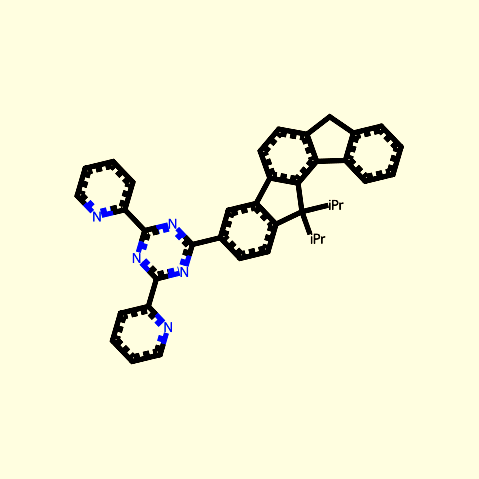 CC(C)C1(C(C)C)c2ccc(-c3nc(-c4ccccn4)nc(-c4ccccn4)n3)cc2-c2ccc3c(c21)-c1ccccc1C3